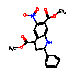 COC(=O)c1cc2c(cc1[N+](=O)[O-])C(C(=O)OC)CC(c1ccccc1)N2